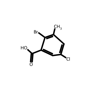 Cc1cc(Cl)cc(C(=O)O)c1Br